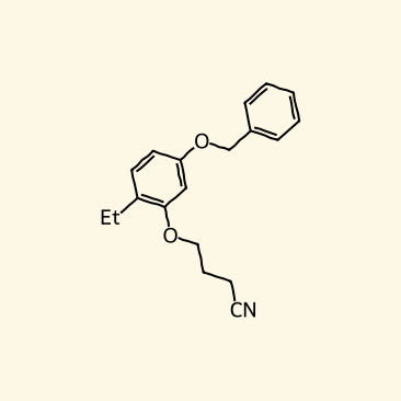 CCc1ccc(OCc2ccccc2)cc1OCCCC#N